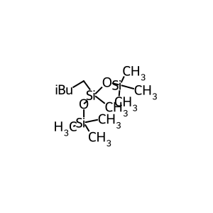 [CH2]CC(C)C[Si](C)(O[Si](C)(C)C)O[Si](C)(C)C